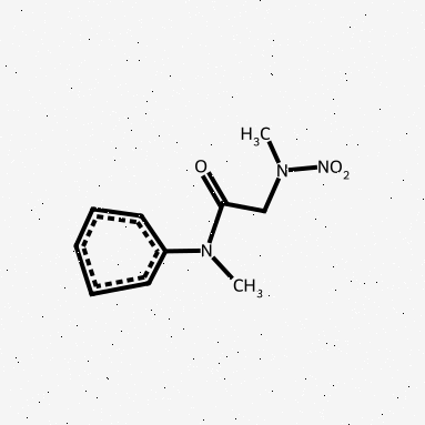 CN(C(=O)CN(C)[N+](=O)[O-])c1ccccc1